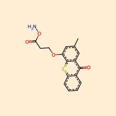 Cc1cc(OCCC(=O)ON)c2sc3ccccc3c(=O)c2c1